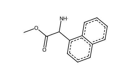 COC(=O)C([NH])c1cccc2ccccc12